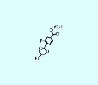 CCCCCCCCOC(=O)c1ccc(C2OCC(CC)CO2)c(F)c1